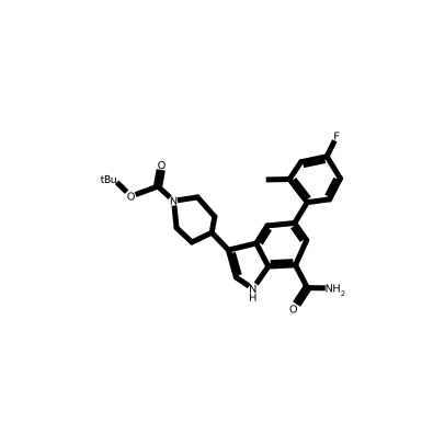 Cc1cc(F)ccc1-c1cc(C(N)=O)c2[nH]cc(C3CCN(C(=O)OC(C)(C)C)CC3)c2c1